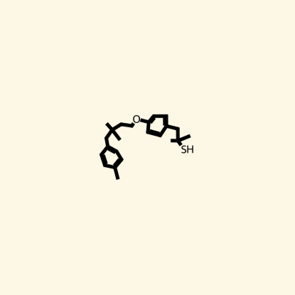 Cc1ccc(CC(C)(C)CCOc2ccc(CC(C)(C)S)cc2)cc1